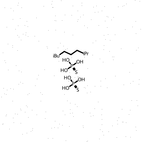 CCC(C)CCCC(C)C.OP(O)(O)=S.OP(O)(O)=S